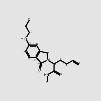 C=CCCC(C(=C)NC)N1Cc2cc(OCCC)ccc2C1=O